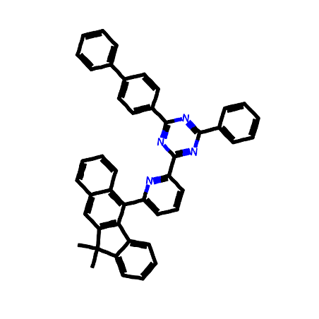 CC1(C)c2ccccc2-c2c1cc1ccccc1c2-c1cccc(-c2nc(-c3ccccc3)nc(-c3ccc(-c4ccccc4)cc3)n2)n1